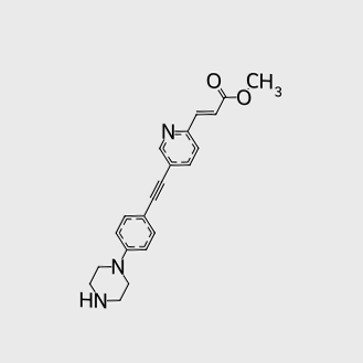 COC(=O)C=Cc1ccc(C#Cc2ccc(N3CCNCC3)cc2)cn1